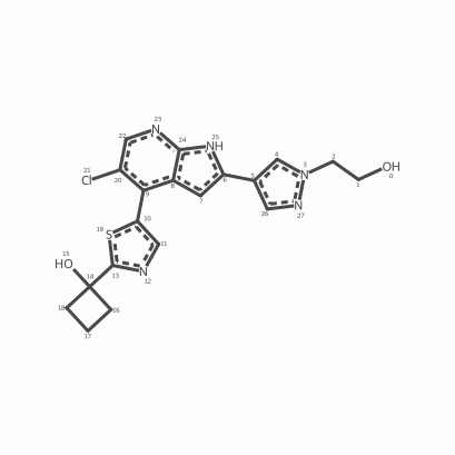 OCCn1cc(-c2cc3c(-c4cnc(C5(O)CCC5)s4)c(Cl)cnc3[nH]2)cn1